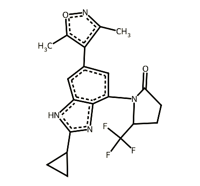 Cc1noc(C)c1-c1cc(N2C(=O)CCC2C(F)(F)F)c2nc(C3CC3)[nH]c2c1